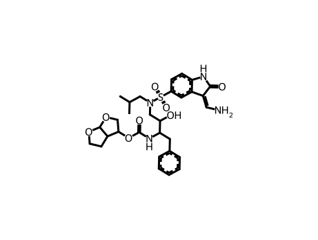 CC(C)CN(CC(O)C(Cc1ccccc1)NC(=O)OC1COC2OCCC12)S(=O)(=O)c1ccc2c(c1)/C(=C/N)C(=O)N2